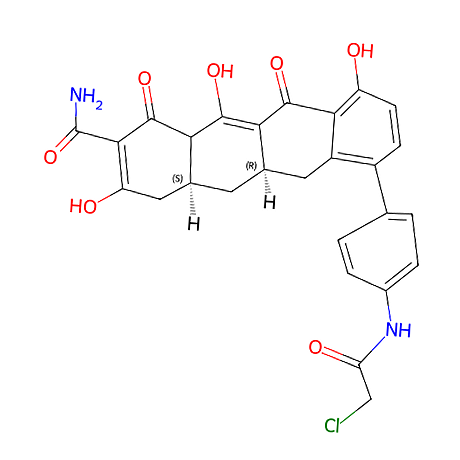 NC(=O)C1=C(O)C[C@@H]2C[C@@H]3Cc4c(-c5ccc(NC(=O)CCl)cc5)ccc(O)c4C(=O)C3=C(O)C2C1=O